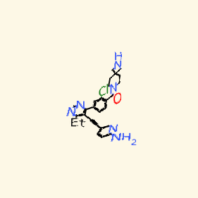 CCc1ncnc(-c2ccc(C(=O)N3CCC4(CC3)CNC4)c(Cl)c2)c1C#Cc1ccc(N)nc1